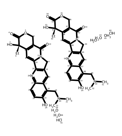 CC[C@@]1(O)C(=O)OCc2c1cc1n(c2=O)Cc2cc3c(CN(C)C)c(O)ccc3nc2-1.CC[C@@]1(O)C(=O)OCc2c1cc1n(c2=O)Cc2cc3c(CN(C)C)c(O)ccc3nc2-1.Cl.Cl.O.O.O.O.O